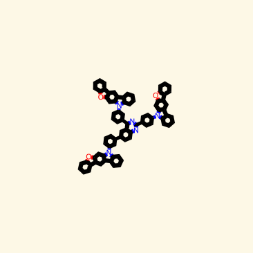 c1cc(-c2ccc3nc(-c4ccc(-n5c6ccccc6c6cc7c(cc65)oc5ccccc57)cc4)nc(-c4cccc(-n5c6ccccc6c6cc7c(cc65)oc5ccccc57)c4)c3c2)cc(-n2c3ccccc3c3cc4c(cc32)oc2ccccc24)c1